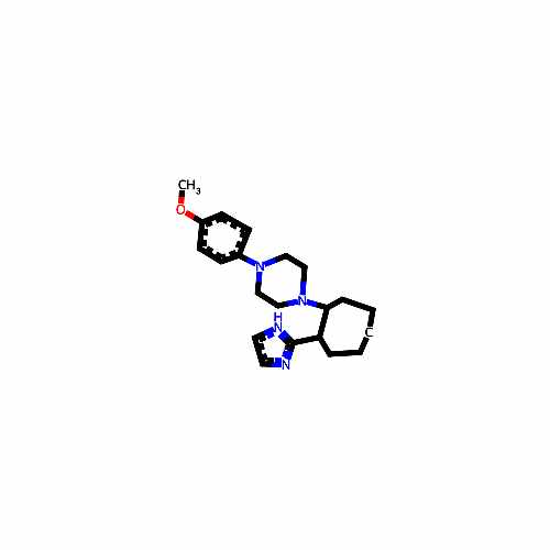 COc1ccc(N2CCN(C3CCCCCC3c3ncc[nH]3)CC2)cc1